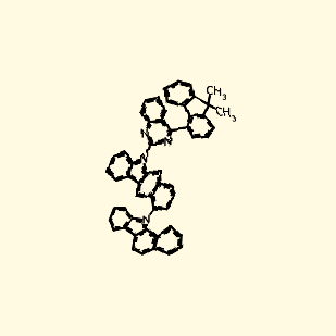 CC1(C)c2ccccc2-c2c(-c3nc(-n4c5ccccc5c5cc6c(-n7c8ccccc8c8ccc9ccccc9c87)cccc6cc54)nc4ccccc34)cccc21